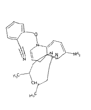 CCCC1N=C2C(N)=CC=C3N(Oc4ccccc4C#N)C=CCC32N1CC(C)C